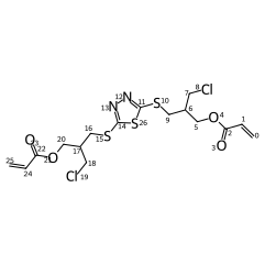 C=CC(=O)OCC(CCl)CSc1nnc(SCC(CCl)COC(=O)C=C)s1